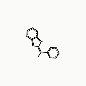 CC(=C1[C]=c2ccccc2=C1)c1ccccc1